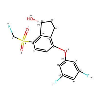 O=S(=O)(CF)c1ccc(Oc2cc(F)cc(F)c2)c2c1[C@H](O)CC2